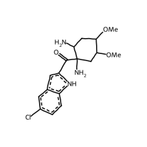 COC1CC(N)C(N)(C(=O)c2cc3cc(Cl)ccc3[nH]2)CC1OC